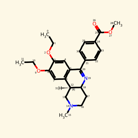 CCOc1cc2c(cc1OCC)[C@@H]1CN(C)CCC1N=C2c1ccc(C(=O)OC)cc1